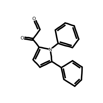 O=CC(=O)c1ccc(-c2ccccc2)n1-c1ccccc1